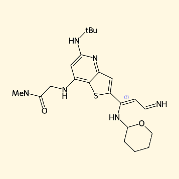 CNC(=O)CNc1cc(NC(C)(C)C)nc2cc(/C(=C/C=N)NC3CCCCO3)sc12